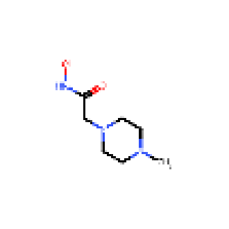 CN1CCN(CC(=O)NO)CC1